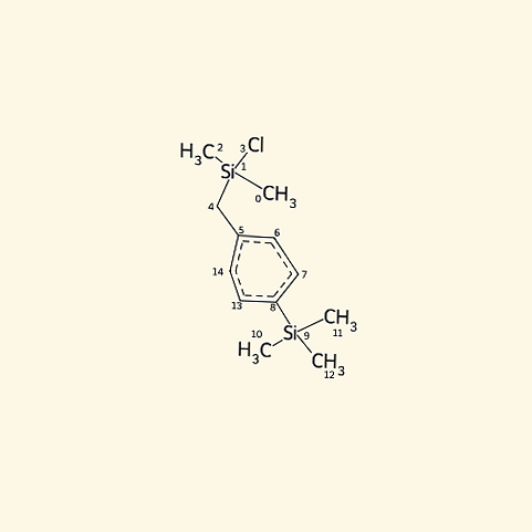 C[Si](C)(Cl)Cc1ccc([Si](C)(C)C)cc1